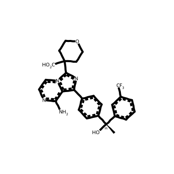 C[C@@](O)(c1ccc(-c2nc(C3(C(=O)O)CCOCC3)n3ccnc(N)c23)cc1)c1cccc(C(F)(F)F)c1